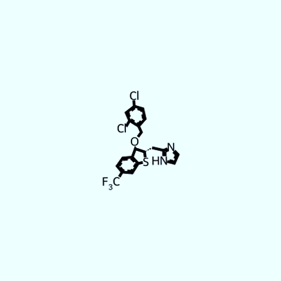 FC(F)(F)c1ccc2c(c1)S[C@@H](Cc1ncc[nH]1)[C@H]2OCc1ccc(Cl)cc1Cl